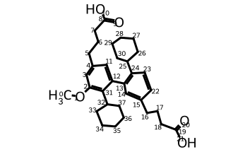 COc1cc(CCCC(=O)O)cc(-c2cc(CCCC(=O)O)ccc2C2CCCCC2)c1C1CCCCC1